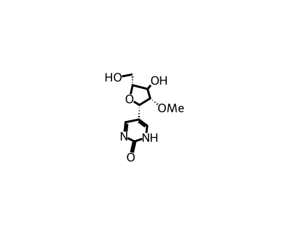 CO[C@H]1C(O)[C@@H](CO)O[C@H]1c1cnc(=O)[nH]c1